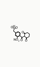 O=C1CCCC(=O)C1C(=O)c1ccc(C[SH](=O)=O)cc1[N+](=O)[O-]